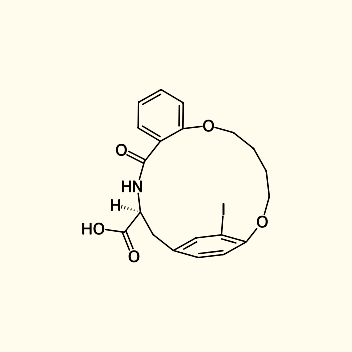 O=C1N[C@H](C(=O)O)Cc2ccc(c(I)c2)OCCCCOc2ccccc21